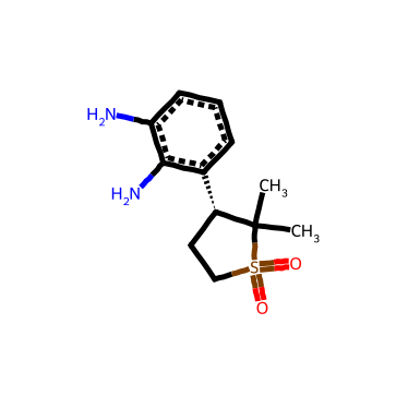 CC1(C)[C@@H](c2cccc(N)c2N)CCS1(=O)=O